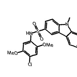 COc1cc(NS(=O)(=O)c2ccc3c(c2)c2ccccc2n3C)c(OC)cc1Cl